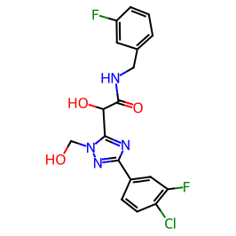 O=C(NCc1cccc(F)c1)C(O)c1nc(-c2ccc(Cl)c(F)c2)nn1CO